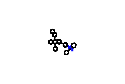 C1=CCC(c2nc3c(n2-c2ccc(-c4ccc5c(-c6ccc7ccccc7c6)c6ccccc6c(-c6ccccc6)c5c4)cc2)CCC=C3)C=C1